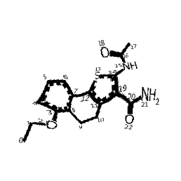 CCOc1cccc2c1CCc1c-2sc(NC(C)=O)c1C(N)=O